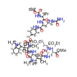 CCOC(=O)CC[C@@H](NC(=O)[C@H](CCC(=O)OC)NC(=O)/C(C)=C/[C@H](C(C)C)N(C)C(=O)[C@@H](NC(=O)C(N(C)C(=O)OCc1ccc(NC(=O)[C@H](CCCNC(N)=O)NC(=O)[C@@H](NC(=O)OC(C)(C)C)C(C)C)cc1)C(C)(C)c1cn(C)c2ccccc12)C(C)(C)C)C(=O)OCC